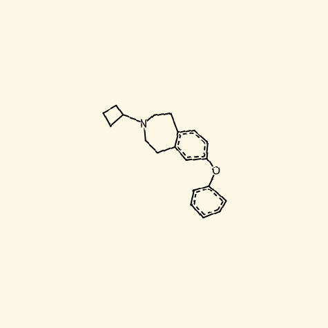 c1ccc(Oc2ccc3c(c2)CCN(C2CCC2)CC3)cc1